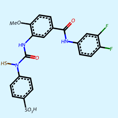 COc1ccc(C(=O)Nc2ccc(F)c(F)c2)cc1NC(=O)N(S)c1ccc(S(=O)(=O)O)cc1